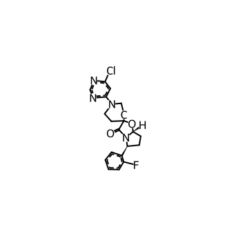 O=C1N2[C@@H](CC[C@H]2c2ccccc2F)OC12CCN(c1cc(Cl)ncn1)CC2